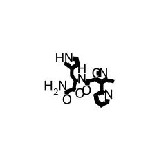 Cc1noc(C(=O)NC(Cc2cc[nH]c2)C(=O)C(N)=O)c1-c1ccccn1